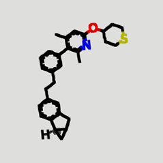 Cc1cc(OC2CCSCC2)nc(C)c1-c1cccc(CCc2ccc3c(c2)CC2C[C@@H]32)c1